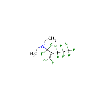 CCN(CC)C(F)(F)C(=C(F)F)C(F)(F)C(F)(F)C(F)(F)F